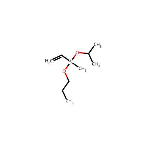 C=C[Si](C)(OCCC)OC(C)C